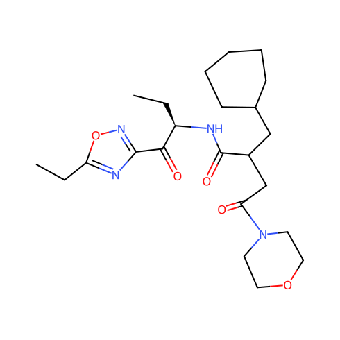 CCc1nc(C(=O)[C@@H](CC)NC(=O)C(CC(=O)N2CCOCC2)CC2CCCCC2)no1